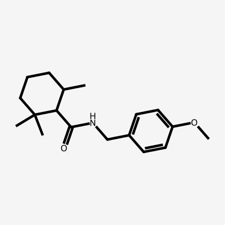 COc1ccc(CNC(=O)C2C(C)CCCC2(C)C)cc1